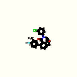 Cc1cc(-c2ccc3c4c2C(=O)N(c2cccc(Cl)c2)C(C=C3)C4=O)ccc1F